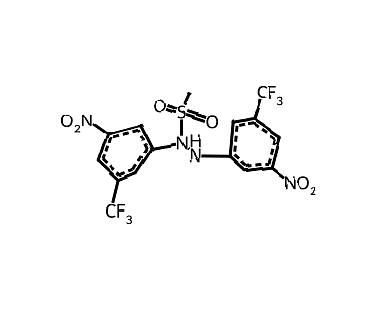 CS(=O)(=O)N(Nc1cc([N+](=O)[O-])cc(C(F)(F)F)c1)c1cc([N+](=O)[O-])cc(C(F)(F)F)c1